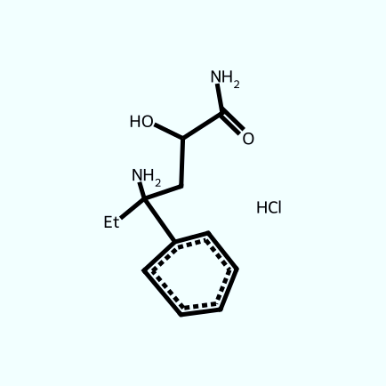 CCC(N)(CC(O)C(N)=O)c1ccccc1.Cl